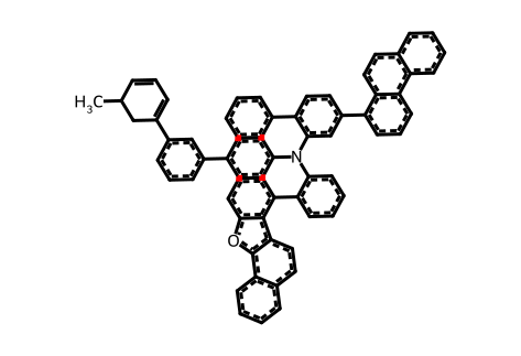 CC1C=CC=C(c2cccc(-c3ccc(N(c4cc(-c5cccc6c5ccc5ccccc56)ccc4-c4ccccc4)c4ccccc4-c4cccc5oc6c7ccccc7ccc6c45)cc3)c2)C1